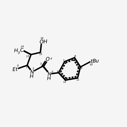 CCC(NC(=O)Nc1ccc(C(C)(C)C)cc1)C(C)CO